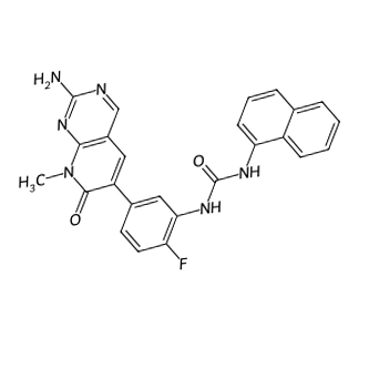 Cn1c(=O)c(-c2ccc(F)c(NC(=O)Nc3cccc4ccccc34)c2)cc2cnc(N)nc21